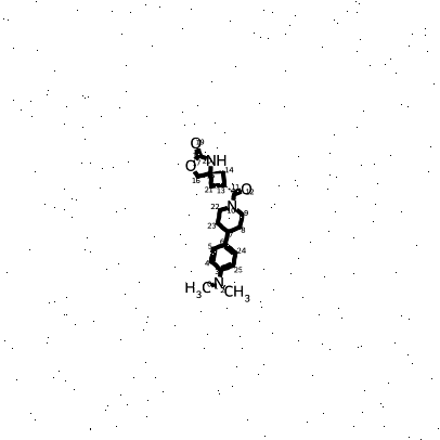 CN(C)c1ccc(C2CCN(C(=O)[C@H]3C[C@]4(COC(=O)N4)C3)CC2)cc1